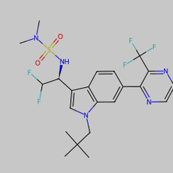 CN(C)S(=O)(=O)N[C@@H](c1cn(CC(C)(C)C)c2cc(-c3nccnc3C(F)(F)F)ccc12)C(F)F